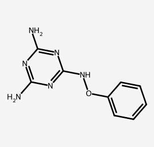 Nc1nc(N)nc(NOc2ccccc2)n1